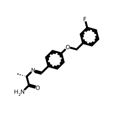 C[C@H](/N=C/c1ccc(OCc2cccc(F)c2)cc1)C(N)=O